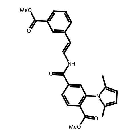 COC(=O)c1cccc(/C=C/NC(=O)c2ccc(C(=O)OC)c(-n3c(C)ccc3C)c2)c1